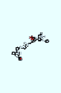 CC(C)(C)OC(=O)N(CCCCOC(=O)c1ccc(COc2cccc(C(NC(=O)O[C@H]3CN4CCC3CC4)c3ccccc3)c2)o1)CC(O[Si](C)(C)C(C)(C)C)c1ccc(OCc2ccccc2)c2[nH]c(=O)ccc12